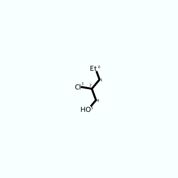 CCCC(Cl)CO